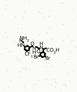 NN=CNc1cc(C(=O)NCC(=O)NC(CC(=O)O)c2cc(Br)cc(Br)c2)cc(C(F)(F)F)c1